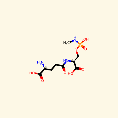 CNP(=O)(O)OC[C@H](NC(=O)CC[C@H](N)C(=O)O)C(=O)O